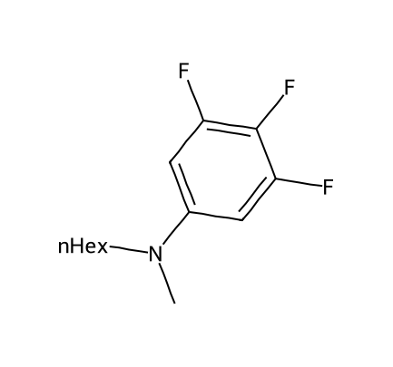 CCCCCCN(C)c1cc(F)c(F)c(F)c1